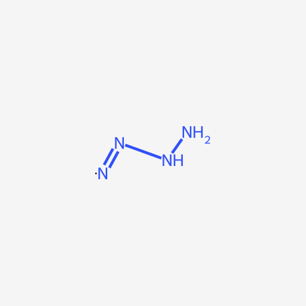 [N]=NNN